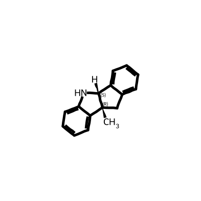 C[C@]12Cc3ccccc3[C@H]1Nc1ccccc12